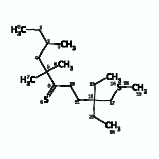 CCC(C)CC(C)(C)C(=S)CCC(CC)(CC)CSC